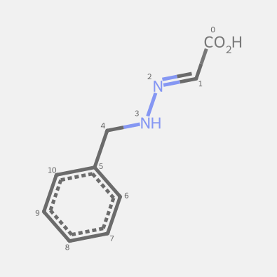 O=C(O)C=NNCc1ccccc1